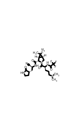 CN(C)CCC[C@H](NC(=O)C(F)(F)F)C(=O)N1C[C@H]2[C@@H]([C@H]1C(=O)N[C@H](C#N)C[C@@H]1CCNC1=O)C2(C)C